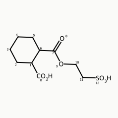 O=C(O)C1CCCCC1C(=O)OCCS(=O)(=O)O